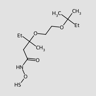 CCC(C)(C)OCCOC(C)(CC)CC(=O)NOS